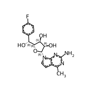 Cc1nc(N)nc2c1ccn2[C@@H]1O[C@H]([C@H](O)c2ccc(F)cc2)[C@@H](O)[C@H]1O